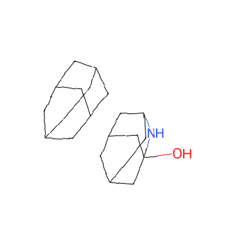 C1C2CC3CC1CC(C2)C3.OC12CC3CC(CC(C3)N1)C2